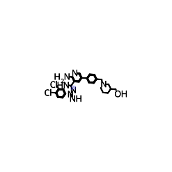 N=N/N=C(\Nc1cccc(Cl)c1Cl)c1cc(-c2ccc(CN3CCCC(CO)C3)cc2)cnc1N